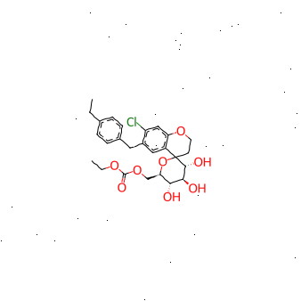 CCOC(=O)OC[C@H]1OC2(CCOc3cc(Cl)c(Cc4ccc(CC)cc4)cc32)[C@H](O)[C@@H](O)[C@@H]1O